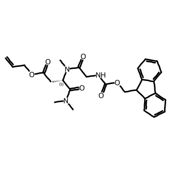 C=CCOC(=O)C[C@@H](C(=O)N(C)C)N(C)C(=O)CNC(=O)OCC1c2ccccc2-c2ccccc21